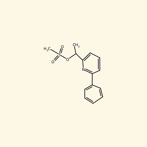 CC(OS(C)(=O)=O)c1cccc(-c2ccccc2)n1